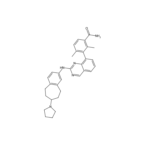 Cc1ccc(C(N)=O)c(C)c1-c1cccc2cnc(Nc3ccc4c(c3)CCC(N3CCCC3)CC4)nc12